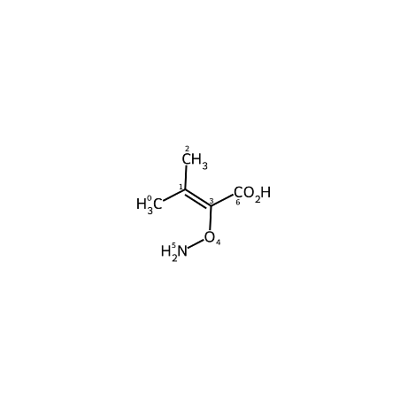 CC(C)=C(ON)C(=O)O